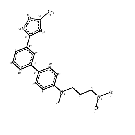 CCN(CC)CCCN(C)c1ccc(-c2cc(-c3noc(C(F)(F)F)n3)ccn2)nc1